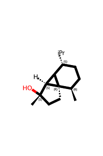 CC(C)[C@@H]1CC[C@@H](C)[C@@]23CC[C@](C)(O)[C@H]2C13